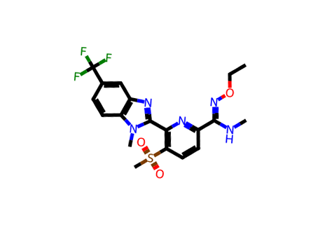 CCON=C(NC)c1ccc(S(C)(=O)=O)c(-c2nc3cc(C(F)(F)F)ccc3n2C)n1